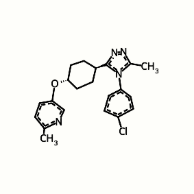 Cc1ccc(O[C@H]2CC[C@H](c3nnc(C)n3-c3ccc(Cl)cc3)CC2)cn1